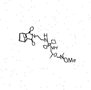 CON(C)COC(C)CNP(=O)(Cl)NCCN1C(=O)C2C3C=CC(O3)C2C1=O